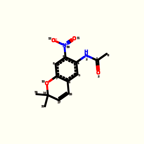 CC(=O)Nc1cc2c(cc1[N+](=O)[O-])OC(C)(C)C=C2